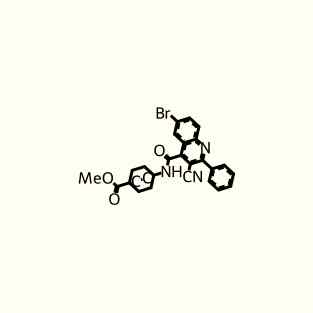 COC(=O)C12CCC(NC(=O)c3c(C#N)c(-c4ccccc4)nc4ccc(Br)cc34)(CC1)CC2